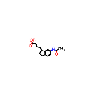 CC(=O)Nc1ccc2c(c1)C(CCCC(=O)O)CC2